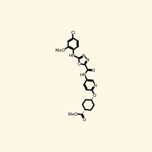 COc1cc(Cl)ccc1Nc1nnc(C(=O)Nc2ccc(O[C@H]3CC[C@@H](C(=O)OC)CC3)nc2)o1